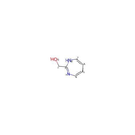 OCC1=NC=CC=CN1